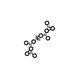 c1ccc(N(c2ccc(-n3nc4ccc(N(c5ccccc5)c5ccc6c(c5)c5ccccc5n6-c5ccccc5)cc4n3)cc2)c2ccc3c(c2)c2ccccc2n3-c2ccccc2)cc1